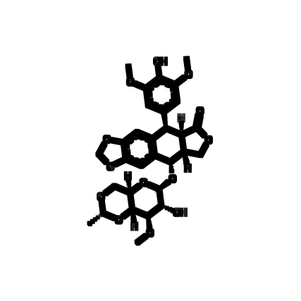 COc1cc([C@@H]2c3cc4c(cc3[C@@H](O[C@@H]3O[C@@H]5CO[C@@H](C)O[C@H]5[C@H](OC)[C@H]3O)[C@H]3COC(=O)[C@H]23)OCO4)cc(OC)c1O